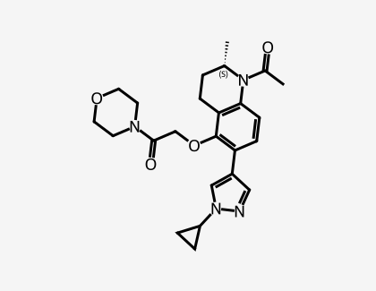 CC(=O)N1c2ccc(-c3cnn(C4CC4)c3)c(OCC(=O)N3CCOCC3)c2CC[C@@H]1C